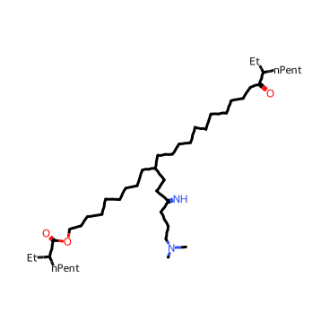 CCCCCC(CC)C(=O)CCCCCCCCCCCC(CCCCCCCCCOC(=O)C(CC)CCCCC)CCC(=N)CCCN(C)C